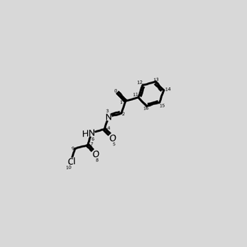 C=C(C=NC(=O)NC(=O)CCl)c1ccccc1